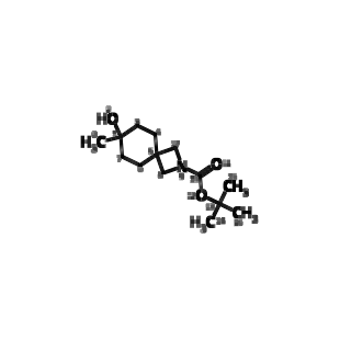 CC1(O)CCC2(CC1)CN(C(=O)OC(C)(C)C)C2